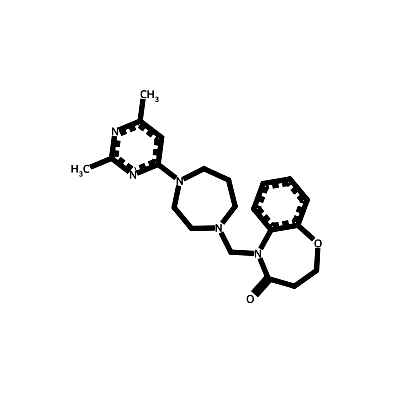 Cc1cc(N2CCCN(CN3C(=O)CCOc4ccccc43)CC2)nc(C)n1